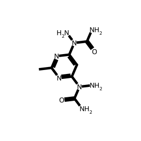 Cc1nc(N(N)C(N)=O)cc(N(N)C(N)=O)n1